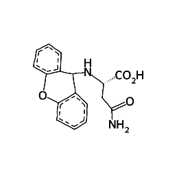 NC(=O)C[C@H](NC1c2ccccc2Oc2ccccc21)C(=O)O